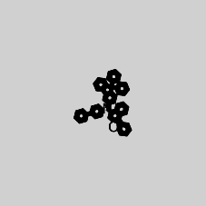 c1ccc(-c2ccc(N(c3ccc4c(c3)-c3ccccc3C4(c3ccccc3)c3ccccc3)c3cc4oc5ccccc5c4c4ccccc34)cc2)cc1